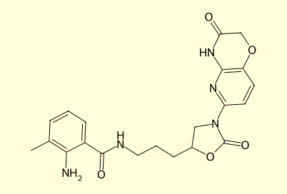 Cc1cccc(C(=O)NCCCC2CN(c3ccc4c(n3)NC(=O)CO4)C(=O)O2)c1N